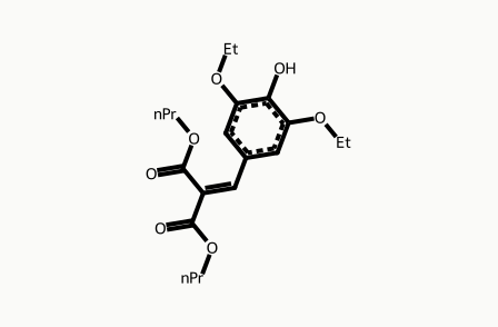 CCCOC(=O)C(=Cc1cc(OCC)c(O)c(OCC)c1)C(=O)OCCC